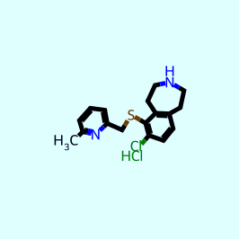 Cc1cccc(CSc2c(Cl)ccc3c2CCNCC3)n1.Cl